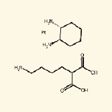 NCCCCC(C(=O)O)C(=O)O.N[C@@H]1CCCC[C@H]1N.[Pt]